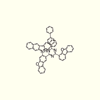 c1ccc(-c2ccc(C3N=C(c4cccc5c4oc4ccccc45)N=C(c4cc5c(cc4-n4c6cc7ccccc7cc6c6cc7ccccc7cc64)oc4ccccc45)N3)cc2)cc1